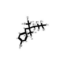 FC(F)(F)C(F)(F)C(F)(F)C(Cc1ccc(Br)cc1)(C(F)(F)F)C(F)(F)F